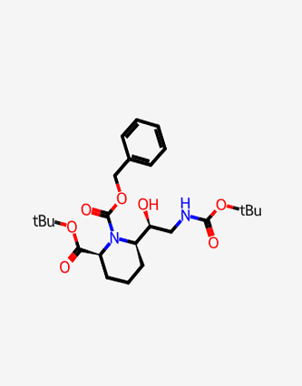 CC(C)(C)OC(=O)NC[C@H](O)[C@H]1CCC[C@@H](C(=O)OC(C)(C)C)N1C(=O)OCc1ccccc1